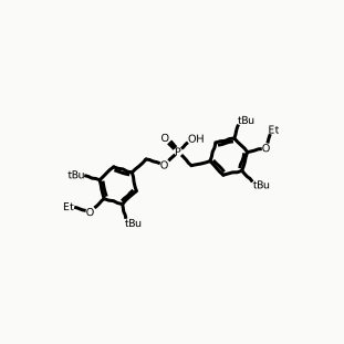 CCOc1c(C(C)(C)C)cc(COP(=O)(O)Cc2cc(C(C)(C)C)c(OCC)c(C(C)(C)C)c2)cc1C(C)(C)C